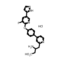 Cl.NC(CC(=O)O)Cc1cc(-c2ccc(Oc3ncc(-c4ccn[nH]4)cc3F)cc2)ccn1